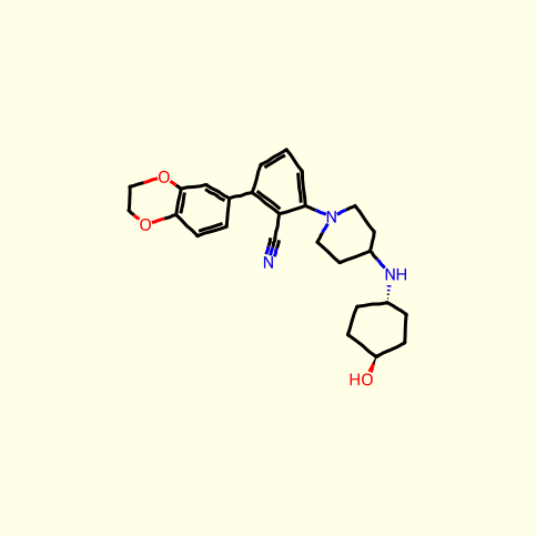 N#Cc1c(-c2ccc3c(c2)OCCO3)cccc1N1CCC(N[C@H]2CC[C@H](O)CC2)CC1